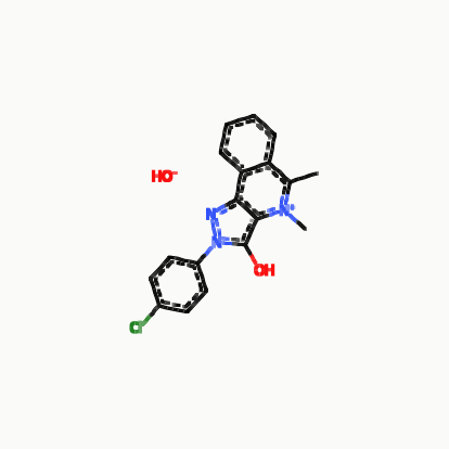 Cc1c2ccccc2c2nn(-c3ccc(Cl)cc3)c(O)c2[n+]1C.[OH-]